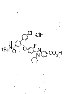 CC(C)(C)NC(=O)c1ccc(-c2ccc(Cl)cc2)c(COc2ccc(-c3nc4cc(C(=O)O)ccc4n3C3CCCCC3)c(F)c2)c1.Cl